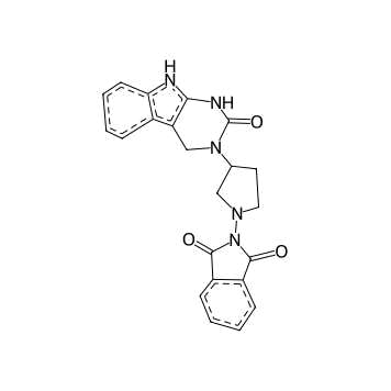 O=C1Nc2[nH]c3ccccc3c2CN1C1CCN(N2C(=O)c3ccccc3C2=O)C1